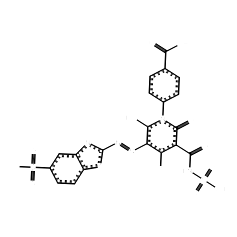 Cc1c(N=Nc2nc3cc(S(=O)(=O)O)ccc3s2)c(O)n(-c2ccc(C(=O)O)cc2)c(=O)c1C(=O)NS(C)(=O)=O